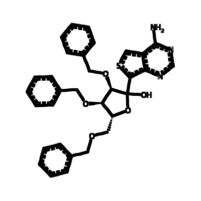 Nc1ncnc2c(C3(O)O[C@H](COCc4ccccc4)[C@@H](OCc4ccccc4)[C@H]3OCc3ccccc3)scc12